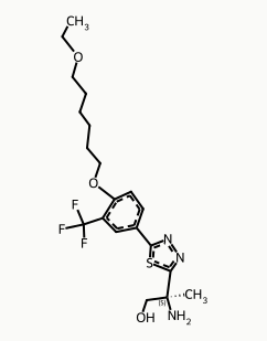 CCOCCCCCCOc1ccc(-c2nnc([C@@](C)(N)CO)s2)cc1C(F)(F)F